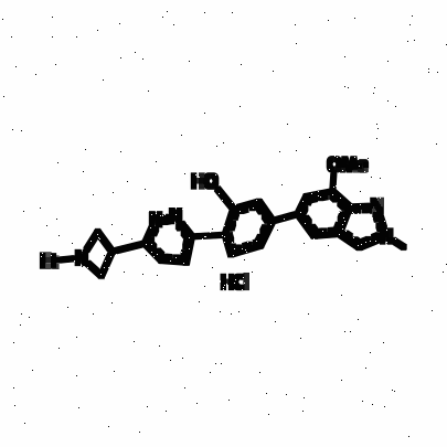 CCN1CC(c2ccc(-c3ccc(-c4cc(OC)c5nn(C)cc5c4)cc3O)nn2)C1.Cl